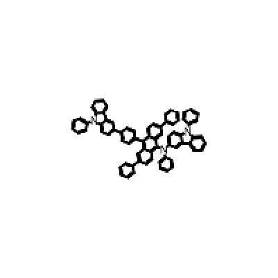 c1ccc(-c2ccc3c(N(c4ccccc4)c4ccc5c(c4)c4ccccc4n5-c4ccccc4)c4cc(-c5ccccc5)ccc4c(-c4ccc(-c5ccc6c(c5)c5ccccc5n6-c5ccccc5)cc4)c3c2)cc1